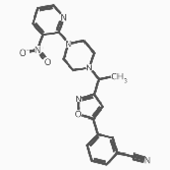 CC(c1cc(-c2cccc(C#N)c2)on1)N1CCN(c2ncccc2[N+](=O)[O-])CC1